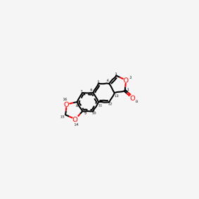 O=C1OC=C2C=c3cc4c(cc3=CC12)OCO4